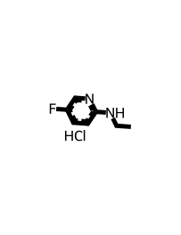 CCNc1ccc(F)cn1.Cl